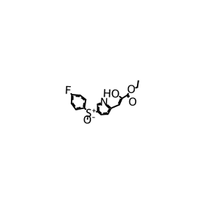 CCOC(=O)/C(O)=C/c1ccc([S+]([O-])c2ccc(F)cc2)cn1